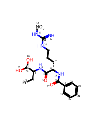 CC(C)C[C@H](NC(=O)[C@H](CCCNC(=N)N[N+](=O)[O-])NC(=O)c1ccccc1)B(O)O